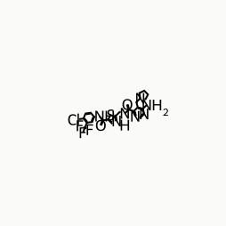 Nc1ncnc(C(=O)NCc2ncc(C(=O)Nc3ccc(Cl)c(C(F)(F)F)c3)s2)c1CN1CCCC1